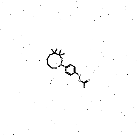 CC(=O)OOc1ccc(B2OCCCCC(C)(C)C(C)(C)O2)cc1